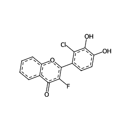 O=c1c(F)c(-c2ccc(O)c(O)c2Cl)oc2ccccc12